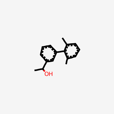 Cc1cccc(C)c1-c1cccc(C(C)O)c1